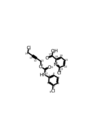 O=C(Nc1cccc(Cl)c1)OCC#CCCl.O=C(O)c1cccc(Cl)n1